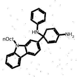 CCCCCCCCn1c2ccccc2c2ccc(C3(Nc4ccccc4)C=CC(N)=CC3)cc21